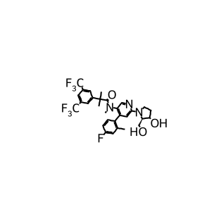 Cc1cc(F)ccc1-c1cc(N2CCC(O)[C@H]2CO)ncc1N(C)C(=O)C(C)(C)c1cc(C(F)(F)F)cc(C(F)(F)F)c1